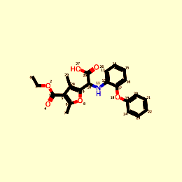 CCOC(=O)c1c(C)oc(C(Nc2ccccc2Oc2ccccc2)C(=O)O)c1C